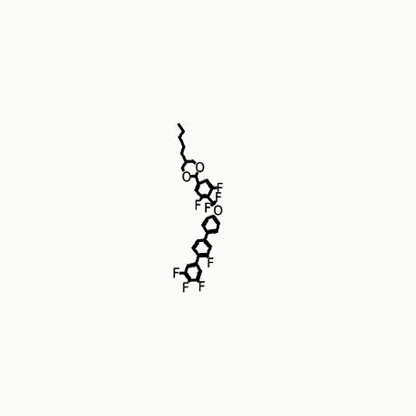 CCCCCC1COC(c2cc(F)c(C(F)(F)Oc3ccc(-c4ccc(-c5cc(F)c(F)c(F)c5)c(F)c4)cc3)c(F)c2)OC1